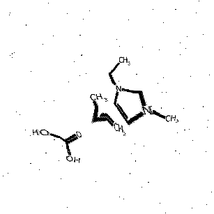 C=CC.CCN1C=CN(C)C1.O=C(O)O